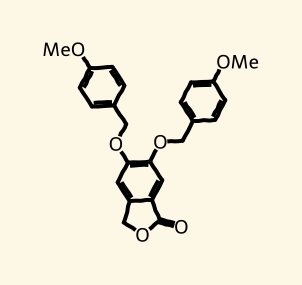 COc1ccc(COc2cc3c(cc2OCc2ccc(OC)cc2)C(=O)OC3)cc1